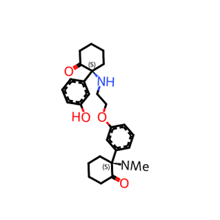 CN[C@]1(c2cccc(OCCN[C@]3(c4cccc(O)c4)CCCCC3=O)c2)CCCCC1=O